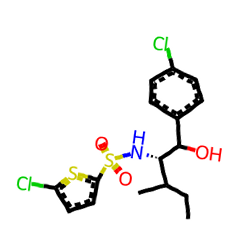 CCC(C)[C@H](NS(=O)(=O)c1ccc(Cl)s1)C(O)c1ccc(Cl)cc1